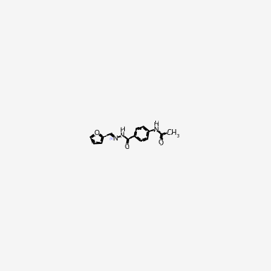 CC(=O)Nc1ccc(C(=O)N/N=C/c2ccco2)cc1